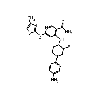 Cc1csc(Nc2cc(N[C@@H]3CCN(c4ccc(N)cn4)C[C@@H]3F)c(C(N)=O)cn2)n1